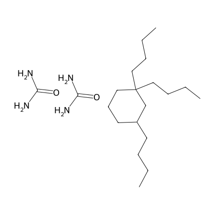 CCCCC1CCCC(CCCC)(CCCC)C1.NC(N)=O.NC(N)=O